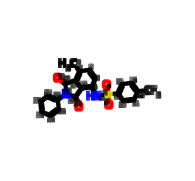 Cc1ccc(NS(=O)(=O)c2ccc(C(F)(F)F)cc2)c2c1C(=O)N(c1ccccc1)C2=O